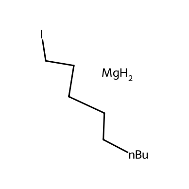 CCCCCCCCCI.[MgH2]